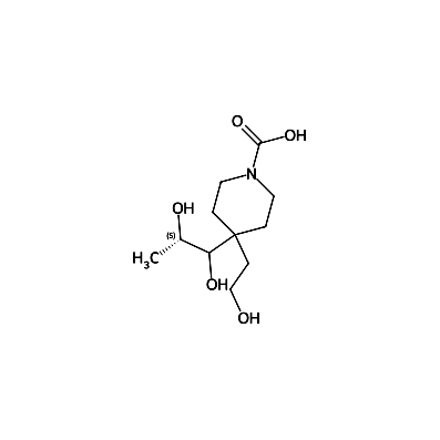 C[C@H](O)C(O)C1(CCO)CCN(C(=O)O)CC1